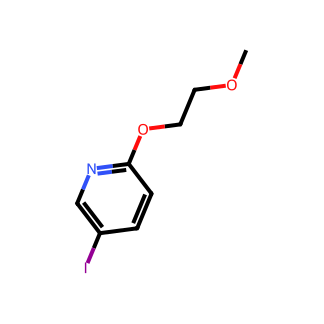 COCCOc1ccc(I)cn1